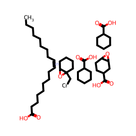 CCCCCCCC/C=C\CCCCCCCC(=O)O.O=C(O)C1CCC2OC2C1.O=C(O)C1CCCCC1.O=C(O)C1CCCCC1.[Cr][CH2]C12CCCCC1O2